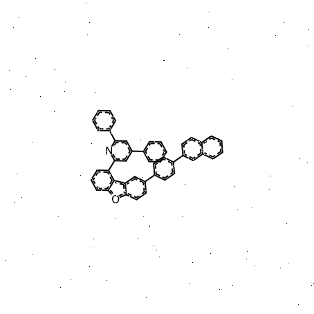 c1ccc(-c2cc(-c3ccccc3)nc(-c3cccc4oc5ccc(-c6ccc(-c7ccc8ccccc8c7)cc6)cc5c34)c2)cc1